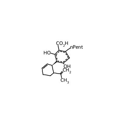 C=C(C)C1CCC=C[C@H]1c1c(O)cc(CCCCC)c(C(=O)O)c1O